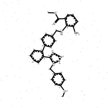 COC(=O)c1cccc(N)c1NCc1ccc(-c2ccccc2-c2nnnn2Cc2ccc(OC)cc2)cc1